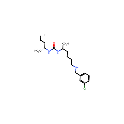 O=C(O)CC[C@H](NC(=O)NC(CCCCNCc1cccc(Cl)c1)C(=O)O)C(=O)O